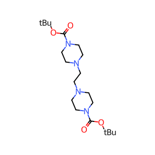 CC(C)(C)OC(=O)N1CCN(CCN2CCN(C(=O)OC(C)(C)C)CC2)CC1